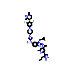 C=C1CC[C@H](c2c(F)cc(N3CCC(N4CC(Nc5ccc6[nH]/c(=N\C(=C)c7cc(C)nc(-c8cnn(C)c8CCC)c7)n(CC7CC7)c6c5)C4)CC3)cc2F)C(=C)N1